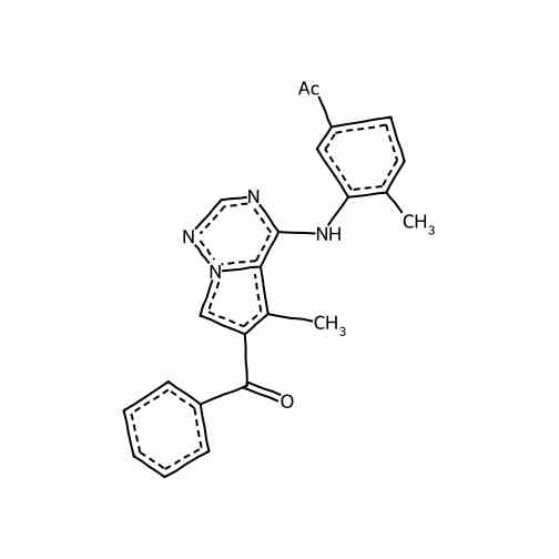 CC(=O)c1ccc(C)c(Nc2ncnn3cc(C(=O)c4ccccc4)c(C)c23)c1